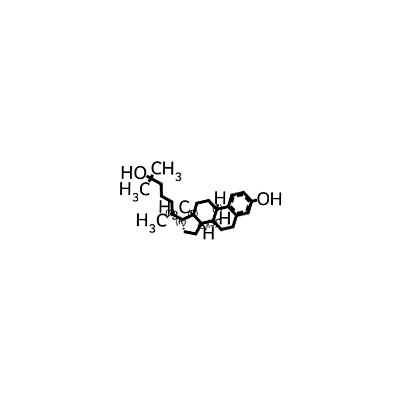 C[C@H](CCCC(C)(C)O)[C@H]1CC[C@H]2[C@@H]3CCc4cc(O)ccc4[C@H]3CC[C@]12C